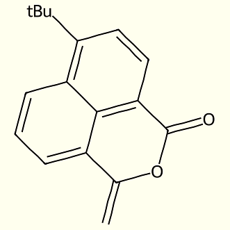 C=c1oc(=O)c2ccc(C(C)(C)C)c3cccc1c32